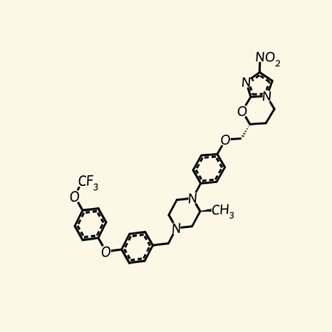 C[C@H]1CN(Cc2ccc(Oc3ccc(OC(F)(F)F)cc3)cc2)CCN1c1ccc(OC[C@H]2CCn3cc([N+](=O)[O-])nc3O2)cc1